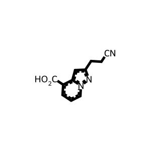 N#CCCc1cc2c(C(=O)O)cccn2n1